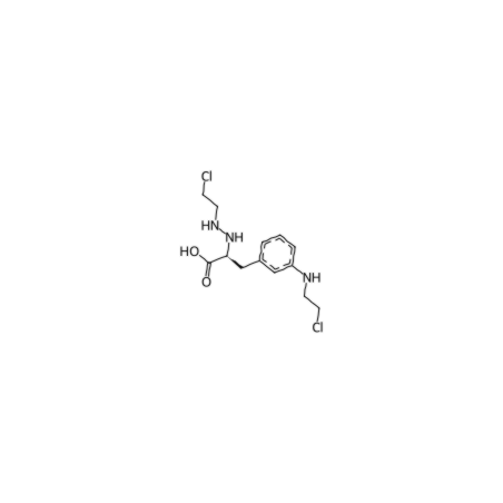 O=C(O)[C@H](Cc1cccc(NCCCl)c1)NNCCCl